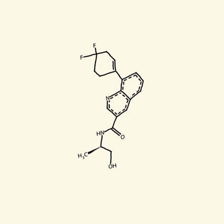 C[C@H](CO)NC(=O)c1cnc2c(C3=CCC(F)(F)CC3)cccc2c1